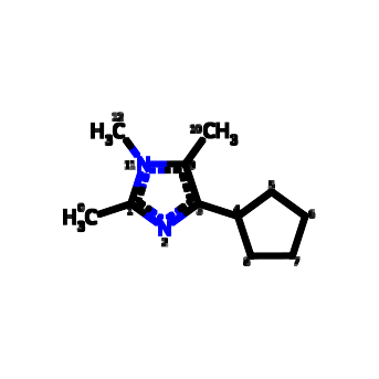 Cc1nc(C2CCCC2)c(C)n1C